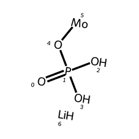 O=P(O)(O)[O][Mo].[LiH]